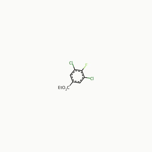 CCOC(=O)c1cc(Cl)c(F)c(Cl)c1